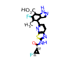 Cc1c(F)c(C(=O)O)c2[nH]ncc2c1-c1ccc2nc(NC(=O)[C@@H]3C[C@@H]3F)sc2n1